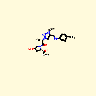 CCCCCCCCN1NN([C@H](C(=O)N2C[C@H](O)C[C@H]2C(=O)NC)C(C)(C)C)CC1CNc1ccc(C(F)(F)F)cc1